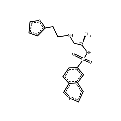 C[C@H](CNCCc1cccs1)NS(=O)(=O)c1ccc2cnccc2c1